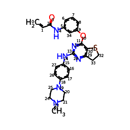 C=CC(=O)Nc1cccc(Oc2nc(Nc3ccc(N4CCN(C)CC4)cc3)nc3c2SCC3)c1